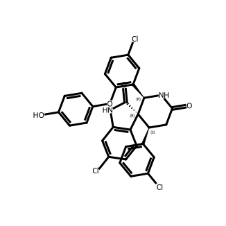 O=C1C[C@@H](c2cccc(Cl)c2)[C@]2(C(=O)Nc3cc(Cl)ccc32)[C@@H](c2cc(Cl)ccc2Oc2ccc(O)cc2)N1